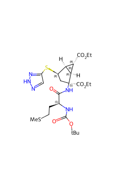 CCOC(=O)[C@H]1[C@H]2[C@@H]1[C@](NC(=O)[C@H](CCSC)NC(=O)OC(C)(C)C)(C(=O)OCC)C[C@H]2Sc1cn[nH]n1